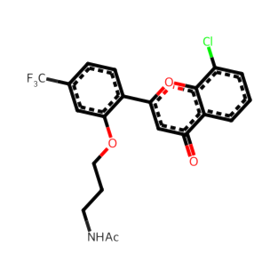 CC(=O)NCCCOc1cc(C(F)(F)F)ccc1-c1cc(=O)c2cccc(Cl)c2o1